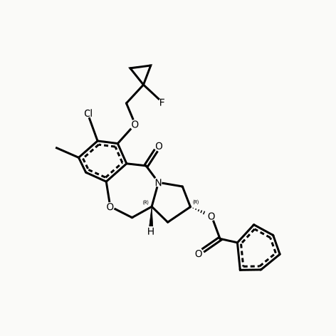 Cc1cc2c(c(OCC3(F)CC3)c1Cl)C(=O)N1C[C@H](OC(=O)c3ccccc3)C[C@@H]1CO2